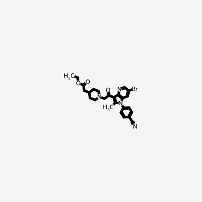 CCOC(=O)CC1CCN(CC(=O)c2c(C)n(-c3ccc(C#N)cc3)c3cc(Br)cnc23)CC1